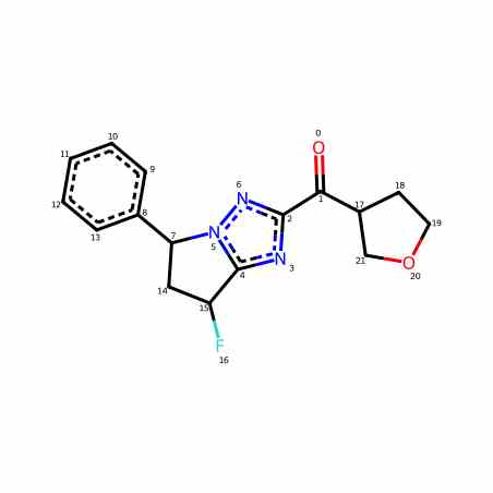 O=C(c1nc2n(n1)C(c1ccccc1)CC2F)C1CCOC1